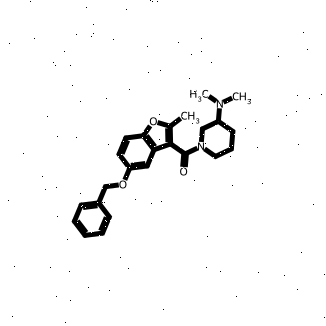 Cc1oc2ccc(OCc3ccccc3)cc2c1C(=O)N1CCCC(N(C)C)C1